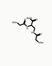 CCCCCCCCCCCC(=O)NCC(NC(=O)CCCCCCCCCCC)C(=O)OC